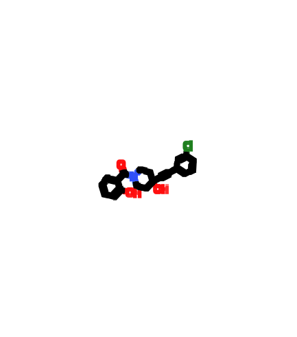 O=C(c1ccccc1O)N1CCC(O)(C#Cc2cccc(Cl)c2)CC1